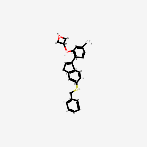 FC(F)(F)c1ccc(C2=CCc3cc(SCc4ccccc4)ccc32)c(OC2COC2)c1